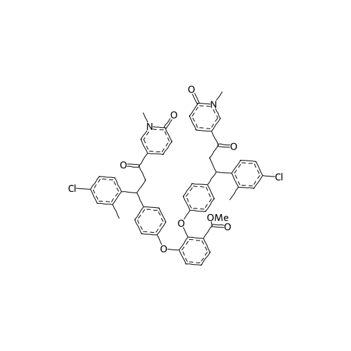 COC(=O)c1cccc(Oc2ccc(C(CC(=O)c3ccc(=O)n(C)c3)c3ccc(Cl)cc3C)cc2)c1Oc1ccc(C(CC(=O)c2ccc(=O)n(C)c2)c2ccc(Cl)cc2C)cc1